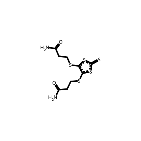 NC(=O)CCSc1sc(=S)sc1SCCC(N)=O